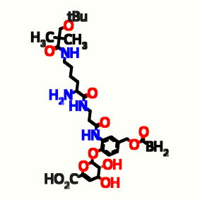 BC(=O)OCc1ccc(OC2OC(C(=O)O)=CC(O)[C@H]2O)c(NC(=O)CCNC(=O)[C@@H](N)CCCCNC(=O)C(C)(C)COC(C)(C)C)c1